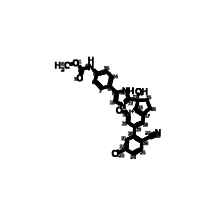 COC(=O)Nc1ccc(-c2cnc([C@@]3(O)CCc4cc(-c5cc(Cl)ccc5C#N)c[n+]([O-])c43)[nH]2)cc1